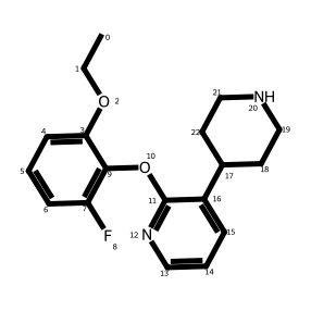 CCOc1cccc(F)c1Oc1ncccc1C1CCNCC1